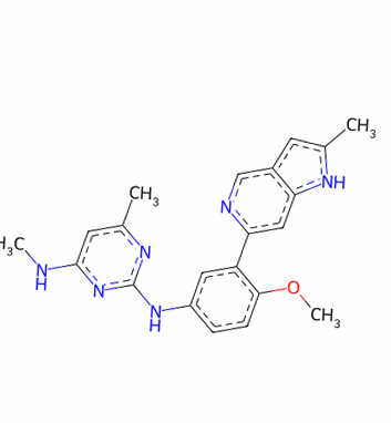 CNc1cc(C)nc(Nc2ccc(OC)c(-c3cc4[nH]c(C)cc4cn3)c2)n1